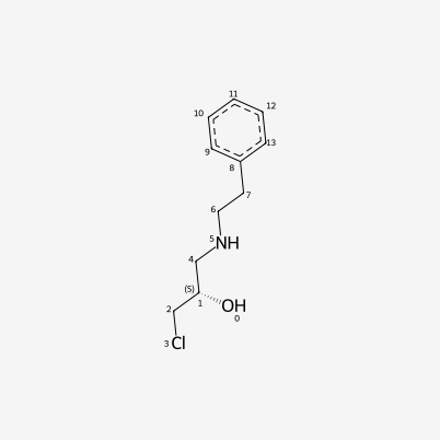 O[C@H](CCl)CNCCc1ccccc1